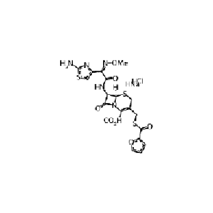 CO/N=C(\C(=O)N[C@@H]1C(=O)N2C(C(=O)O)=C(CSC(=O)c3ccco3)CS[C@H]12)c1csc(N)n1.Cl.[NaH]